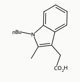 CCCCn1c(C)c(CC(=O)O)c2ccccc21